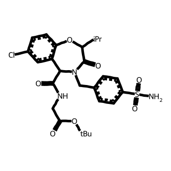 CC(C)C1Oc2ccc(Cl)cc2C(C(=O)NCC(=O)OC(C)(C)C)N(Cc2ccc(S(N)(=O)=O)cc2)C1=O